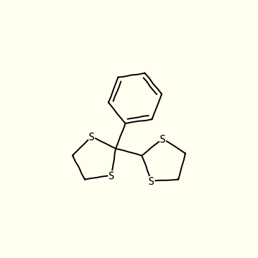 c1ccc(C2(C3SCCS3)SCCS2)cc1